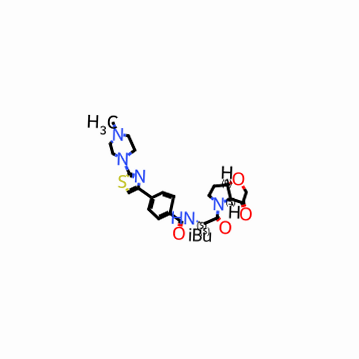 CC[C@H](C)[C@H](NC(=O)c1ccc(-c2csc(N3CCN(C)CC3)n2)cc1)C(=O)N1CC[C@H]2OCC(=O)[C@H]21